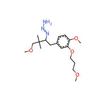 COCCCOc1cc(CC(N=NN)C(C)(C)COC)ccc1OC